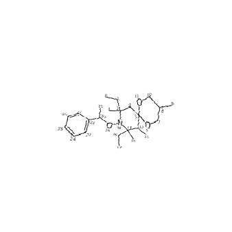 CCC1(C)CC2(OC[C](C)CO2)C(C)C(C)(CC)N1OC(C)c1ccccc1